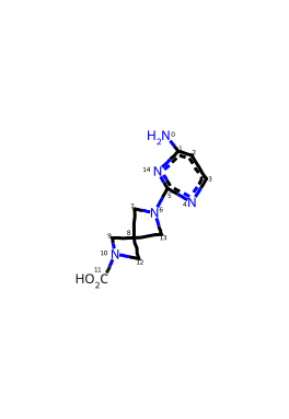 Nc1ccnc(N2CC3(CN(C(=O)O)C3)C2)n1